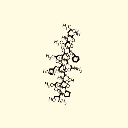 CC(C)C[C@H](NC(=O)[C@H](C)NC(=O)[C@H](Cc1ccccc1)NC(=O)[C@H](CC(C)C)NC(=O)[C@H](CC(N)=O)NC(=O)[C@H](Cc1c[nH]cn1)NC(=O)[C@H](CS)NC(=O)[C@H](CC(C)C)NC(=O)[C@@H]1CCCN1C(=O)[C@@H](N)CO)C(=O)O